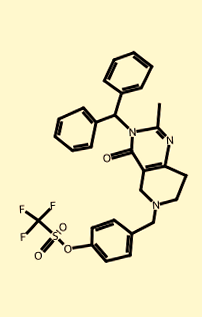 Cc1nc2c(c(=O)n1C(c1ccccc1)c1ccccc1)CN(Cc1ccc(OS(=O)(=O)C(F)(F)F)cc1)CC2